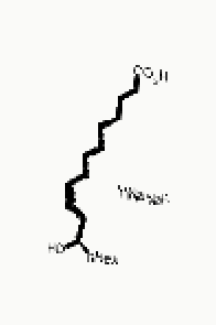 CCCCCC[C@@H](O)C/C=C\CCCCCCCC(=O)O.[NaH].[NaH]